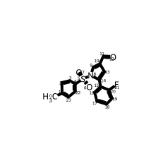 Cc1ccc(S(=O)(=O)n2cc(C=O)cc2-c2ccccc2F)cc1